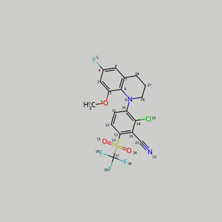 COc1cc(F)cc2c1N(c1ccc(S(=O)(=O)C(F)(F)F)c(C#N)c1Cl)CCC2